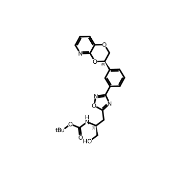 CC(C)(C)OC(=O)N[C@H](CO)Cc1nc(-c2cccc([C@@H]3COc4cccnc4O3)c2)no1